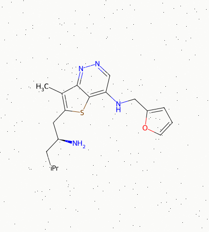 Cc1c(C[C@@H](N)CC(C)C)sc2c(NCc3ccco3)cnnc12